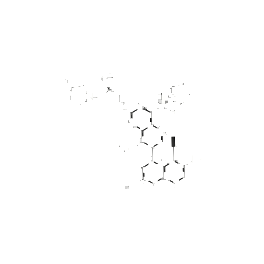 C#Cc1c(F)ccc2cc(O)cc(-c3cnc4c(N5CC6CCC(C5)N6)nc(OCC5(CN6CC[C@@H](F)C6)CC5)nc4c3C#N)c12